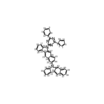 c1ccc(-c2nc(-c3ccccc3)nc(-n3c4ccccc4c4cc5cc(-n6c7ccccc7c7cc8ccccc8cc76)ccc5cc43)n2)cc1